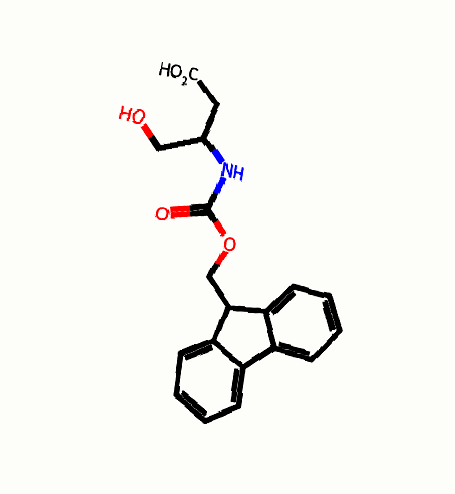 O=C(O)CC(CO)NC(=O)OCC1c2ccccc2-c2ccccc21